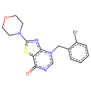 CCc1ccccc1Cn1cnc(=O)c2sc(N3CCOCC3)nc21